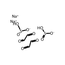 O=CC=O.O=CC=O.O=S([O-])O.O=S([O-])O.[Na+].[Na+]